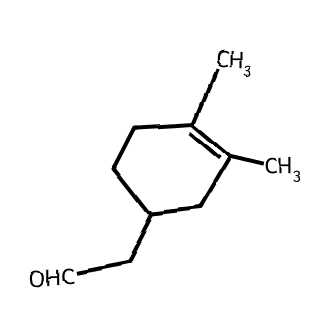 CC1=C(C)CC(CC=O)CC1